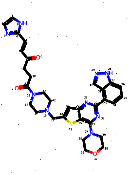 O=C(/C=C/c1ncc[nH]1)CCC(=O)N1CCN(Cc2cc3nc(-c4cccc5[nH]ncc45)nc(N4CCOCC4)c3s2)CC1